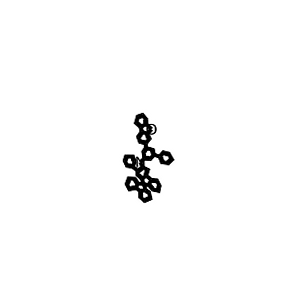 c1ccc(-c2cc(-c3ccc4c(c3)oc3ccccc34)cc(-n3c4ccccc4c4cc5c(cc43)-c3ccccc3C53c4ccccc4-c4ccccc43)c2)cc1